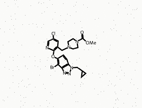 COC(=O)N1CCN(Cc2cc(Cl)cnc2Oc2ccc3c(nnn3CC3CC3)c2Br)CC1